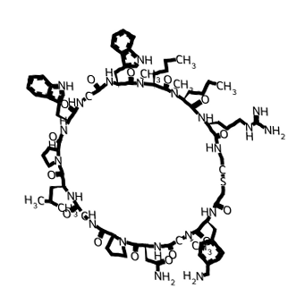 CCCC[C@H]1C(=O)N(C)[C@@H](CCCC)C(=O)N[C@@H](CCCNC(=N)N)C(=O)NCCSCC(=O)N[C@@H](Cc2ccc(CN)cc2)C(=O)N(C)CC(=O)N[C@@H](CC(N)=O)C(=O)N2CCCC2C(=O)NCC(=O)N[C@@H](CC(C)C)C(=O)N2CCC[C@H]2C(=O)N[C@@H](Cc2c[nH]c3ccccc23)C(=O)NCC(=O)N[C@@H](Cc2c[nH]c3ccccc23)C(=O)N1C